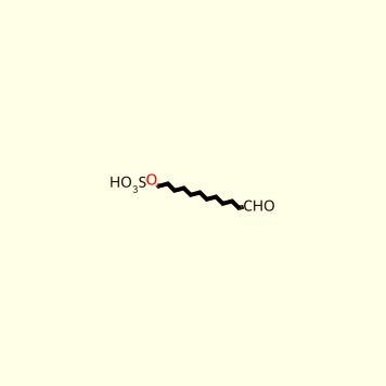 O=CCCCCCCCCCCCOS(=O)(=O)O